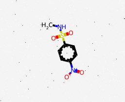 [CH2]NS(=O)(=O)c1ccc([N+](=O)[O-])cc1